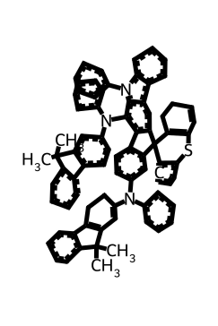 CC1(C)C2=C(CCC(N(c3ccccc3)c3ccc4c(c3)C3(C5=C(C=CCC5)Sc5ccccc53)c3cc5c6ccccc6n(-c6ccccc6)c5c(N(c5ccccc5)c5ccc6c(c5)C(C)(C)c5ccccc5-6)c3-4)=C2)c2ccccc21